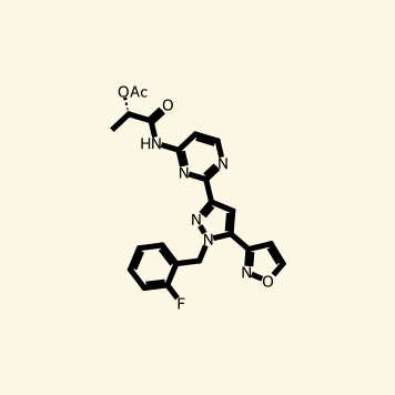 CC(=O)O[C@@H](C)C(=O)Nc1ccnc(-c2cc(-c3ccon3)n(Cc3ccccc3F)n2)n1